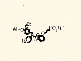 CCOc1cc(CN(c2nc3cccc(OCCCC(=O)O)c3o2)C2CCNCC2)ccc1OC